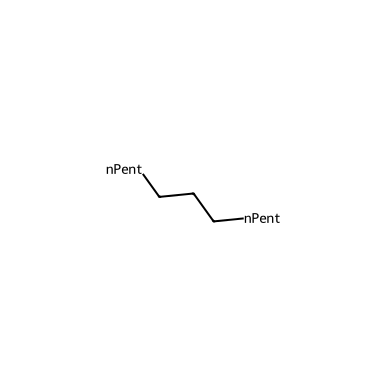 [CH2]CCCCCCCCCCC[CH2]